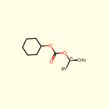 CC(=O)O[C@H](OC(=O)OC1CCCCC1)C(C)C